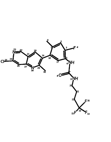 Cc1cc(F)c(NC(=O)NCCCC(F)(F)F)cc1-c1cc2cnc(Cl)cc2nc1C